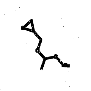 CCCCOC(C)OCC1CO1